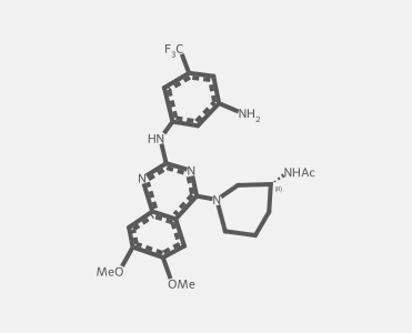 COc1cc2nc(Nc3cc(N)cc(C(F)(F)F)c3)nc(N3CCC[C@@H](NC(C)=O)C3)c2cc1OC